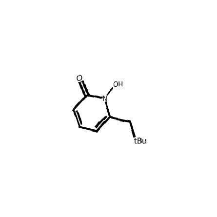 CC(C)(C)Cc1cccc(=O)n1O